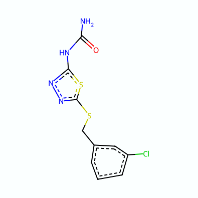 NC(=O)Nc1nnc(SCc2cccc(Cl)c2)s1